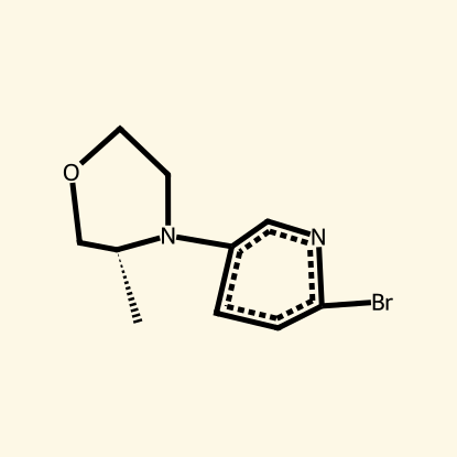 C[C@@H]1COCCN1c1ccc(Br)nc1